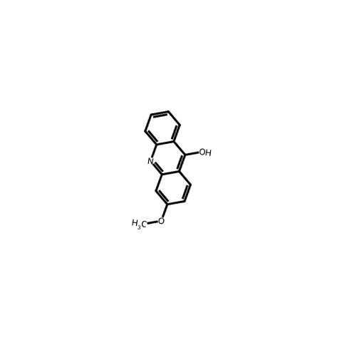 COc1ccc2c(O)c3ccccc3nc2c1